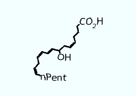 CCCCC/C=C\C/C=C\C=C\C(O)C/C=C\CCCC(=O)O